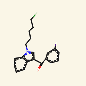 O=C(c1cccc(I)c1)c1cn(CCCCCF)c2ccccc12